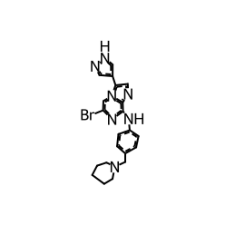 Brc1cn2c(-c3cn[nH]c3)cnc2c(Nc2ccc(CN3CCCCC3)cc2)n1